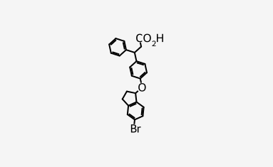 O=C(O)CC(c1ccccc1)c1ccc(OC2CCc3cc(Br)ccc32)cc1